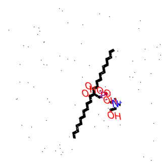 CCCCCCCCCCCC(=O)C(CP(=O)(O)O)C(=O)CCCCCCCCCCC.C[N+](C)(C)CCO